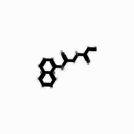 C=CC(=O)OCC(=O)Oc1cccc2ccccc12